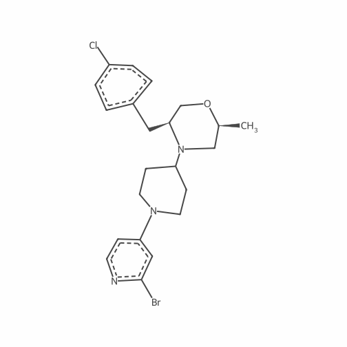 C[C@H]1CN(C2CCN(c3ccnc(Br)c3)CC2)[C@@H](Cc2ccc(Cl)cc2)CO1